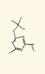 CNc1nc(F)nc(OC(F)(F)Cl)n1